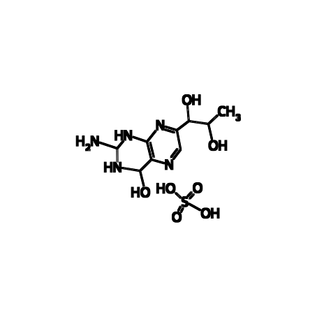 CC(O)C(O)c1cnc2c(n1)NC(N)NC2O.O=S(=O)(O)O